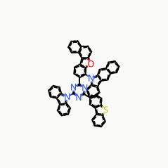 c1ccc2cc3c(cc2c1)c1ccccc1n3-c1c(-c2nc(-c3ccc4sc5ccccc5c4c3)nc(-n3c4ccccc4c4ccccc43)n2)ccc2c1oc1ccc3ccccc3c12